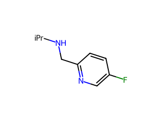 CC(C)NCc1ccc(F)cn1